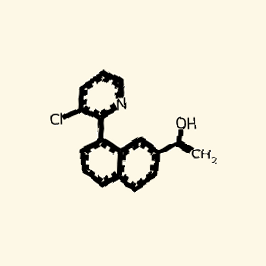 C=C(O)c1ccc2cccc(-c3ncccc3Cl)c2c1